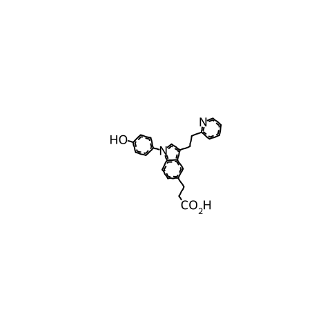 O=C(O)CCc1ccc2c(c1)c(CCc1ccccn1)cn2-c1ccc(O)cc1